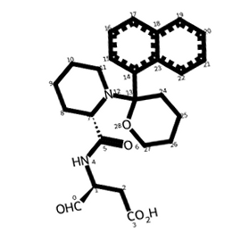 O=C[C@H](CC(=O)O)NC(=O)[C@@H]1CCCCN1C1(c2cccc3ccccc23)CCCCO1